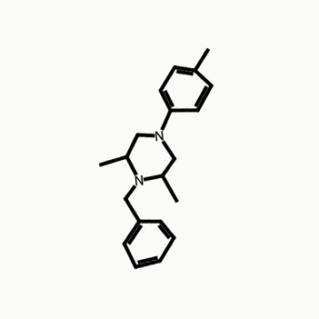 Cc1ccc(N2CC(C)N(Cc3ccccc3)C(C)C2)cc1